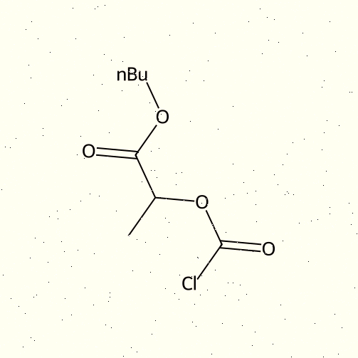 CCCCOC(=O)C(C)OC(=O)Cl